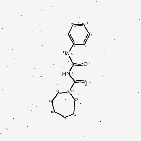 N=C(NC(=O)Nc1ccncc1)N1CCCCCC1